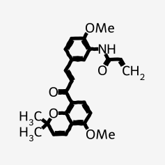 C=CC(=O)Nc1cc(C=CC(=O)c2ccc(OC)c3c2OC(C)(C)C=C3)ccc1OC